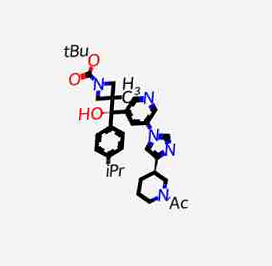 CC(=O)N1CCC[C@@H](c2cn(-c3cncc([C@@](O)(c4ccc(C(C)C)cc4)C4(C)CN(C(=O)OC(C)(C)C)C4)c3)cn2)C1